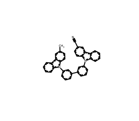 Cc1ccc2c(c1)c1ccccc1n2-c1cccc(-c2cccc(-n3c4ccccc4c4cc(C#N)ccc43)c2)c1